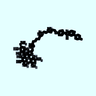 CN1CCN(c2ccc3nc(-c4ccc(OCc5cn(CCn6cc(CCCCc7cn(CC8OC(OC9[C@H](O[C@@H]%10OC(CN)[C@@H](O)[C@H](O)C%10N)C(N)C[C@@H](N)[C@H]9O)[C@@H](O)[C@H]8O[C@H]8O[C@@H](CN)[C@@H](O)C(O)C8N)nn7)nn6)nn5)cc4)[nH]c3c2)CC1